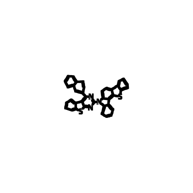 c1ccc2cc(-c3nc(-n4c5ccccc5c5c6sc7ccccc7c6ccc54)nc4sc5ccccc5c34)ccc2c1